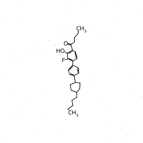 CCCCCC1CCC(c2ccc(-c3ccc(C(=O)CCCC)c(O)c3F)cc2)CC1